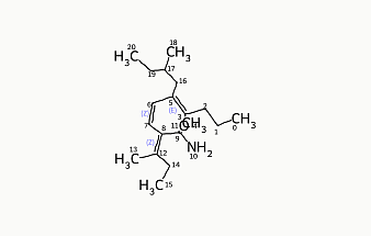 CCC/C(C)=C(/C=C\C(C(N)=O)=C(/C)CC)CC(C)CC